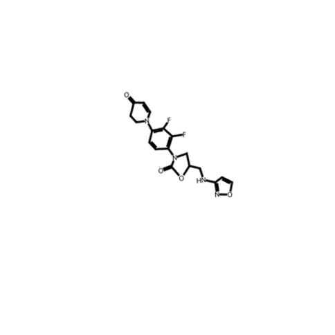 O=C1C=CN(c2ccc(N3CC(CNc4ccon4)OC3=O)c(F)c2F)CC1